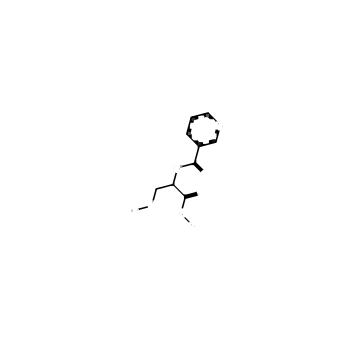 CC(C)(C)SCC(NC(=O)c1cccnc1)C(=O)NN